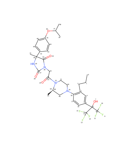 CCCc1cc(C(O)(C(F)(F)F)C(F)(F)F)ccc1N1CCN(C(=O)CN2C(=O)NC(C)(c3ccc(OC(C)C)cc3)C2=O)[C@H](C)C1